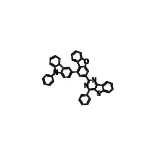 c1ccc(-c2nc(-c3cc(-c4ccc5c(c4)c4ccccc4n5-c4ccccc4)c4c(c3)oc3ccccc34)nc3c2sc2ccccc23)cc1